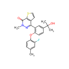 Cc1ccc(Oc2ccc(C(C)(C)O)cc2-c2nn(C)c(=O)c3sccc23)c(F)c1